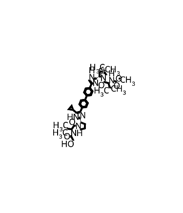 COC(=O)N[C@H](C(=O)N1C[Si](C)(C)C[C@H]1c1nc(-c2ccc(-c3ccc(-c4nc([C@@H]5CCCN5C(=O)[C@@H](NC(=O)CO)C(C)C)[nH]c4C4CC4)cc3)cc2)c[nH]1)C(C)C